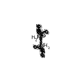 N[C@@H](CSSC[C@H](N)C(=O)N1CCn2nc(-c3cccnc3)cc2C1CCc1ccccc1)C(=O)N1CCn2nc(-c3cccnc3)cc2C1CCc1ccccc1